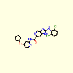 O=C(Nc1cc(OC2CCCC2)ccn1)c1cc2[nH]c(Nc3c(Cl)cccc3Cl)nc2cn1